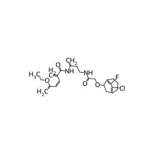 C=C(CCNC(=O)COC1CC2=C(Cl)C(F)=C1CCC2)NC(=O)C(=C)/C=C\C(=C)OCC